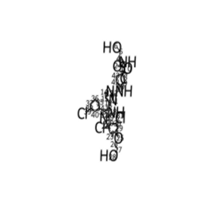 O=S(=O)(NCCO)c1ccc(Nc2nccc(-c3[nH]c(-c4c(Cl)cc(OCCO)cc4Cl)nc3-c3cccc(Cl)c3)n2)cc1